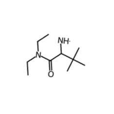 CCN(CC)C(=O)C([NH])C(C)(C)C